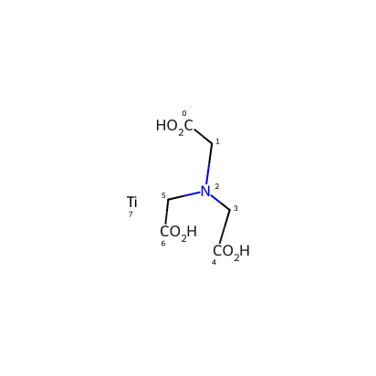 O=C(O)CN(CC(=O)O)CC(=O)O.[Ti]